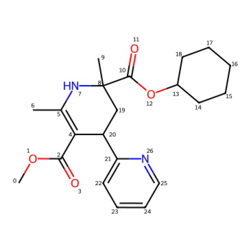 COC(=O)C1=C(C)NC(C)(C(=O)OC2CCCCC2)CC1c1ccccn1